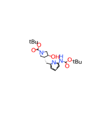 CC(C)(C)OC(=O)Nc1cccc(C[C@@H]2CN(C(=O)OC(C)(C)C)C[C@H]2O)n1